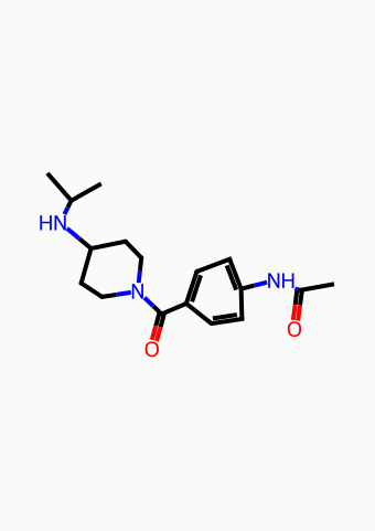 CC(=O)Nc1ccc(C(=O)N2CCC(NC(C)C)CC2)cc1